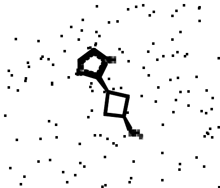 N[C@H]1C[C@@H](c2ncc[nH]2)C1